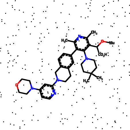 Cc1nc(C)c(C(OC(C)(C)C)C(=O)O)c(N2CCC(C)(C)CC2)c1-c1ccc2c(c1)CCN(c1cc(N3CCOCC3)ccn1)C2